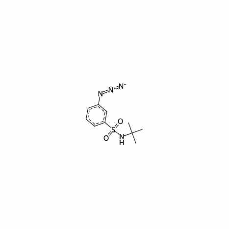 CC(C)(C)NS(=O)(=O)c1cccc(N=[N+]=[N-])c1